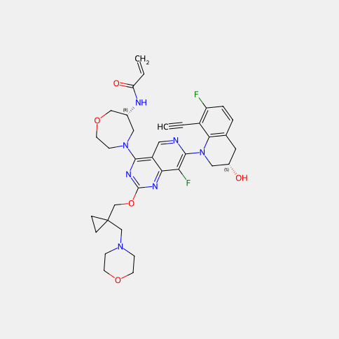 C#Cc1c(F)ccc2c1N(c1ncc3c(N4CCOC[C@H](NC(=O)C=C)C4)nc(OCC4(CN5CCOCC5)CC4)nc3c1F)C[C@@H](O)C2